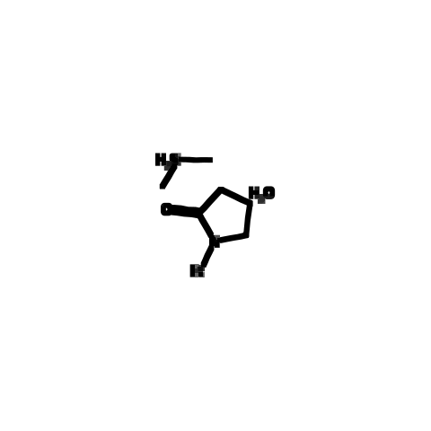 CCN1CCCC1=O.C[SiH2]C.O